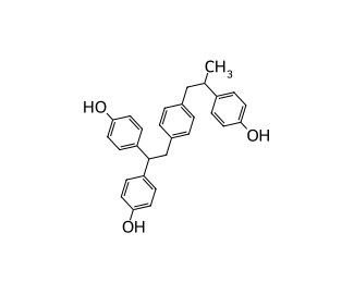 CC(Cc1ccc(CC(c2ccc(O)cc2)c2ccc(O)cc2)cc1)c1ccc(O)cc1